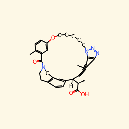 Cc1ccc2cc1C(=O)N1CCc3ccc(cc3C1)[C@H]([C@@H](C)C(=O)O)c1ccc3c(nnn3CCCCCO2)c1C